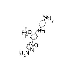 Nc1ccn(-c2ccc(CNC3CCC(N)CC3)c(OC(F)(F)F)c2)c(=O)n1